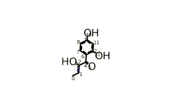 C/C=C(\O)C(=O)c1ccc(O)cc1O